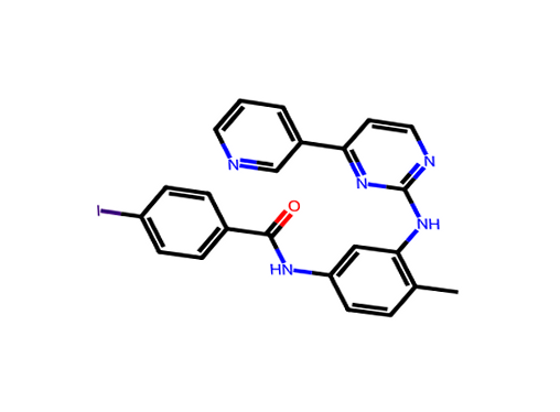 Cc1ccc(NC(=O)c2ccc(I)cc2)cc1Nc1nccc(-c2cccnc2)n1